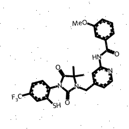 COc1cccc(C(=O)Nc2cc(CN3C(=O)N(c4ccc(C(F)(F)F)cc4S)C(=O)C3(C)C)ccn2)c1